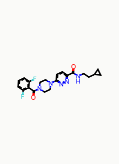 O=C(NCCC1CC1)c1ccc(N2CCN(C(=O)c3c(F)cccc3F)CC2)nn1